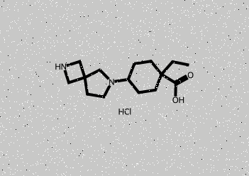 CCC1(C(=O)O)CCC(N2CCC3(CNC3)C2)CC1.Cl